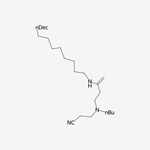 C=C(CCN(CCC#N)CCCC)NCCCCCCCCCCCCCCCCCC